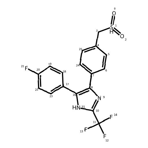 O=[SH](=O)Cc1ccc(-c2nc(C(F)(F)F)[nH]c2-c2ccc(F)cc2)cc1